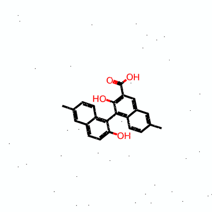 Cc1ccc2c(-c3c(O)c(C(=O)O)cc4cc(C)ccc34)c(O)ccc2c1